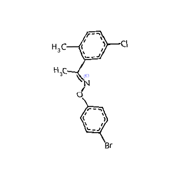 C/C(=N\Oc1ccc(Br)cc1)c1cc(Cl)ccc1C